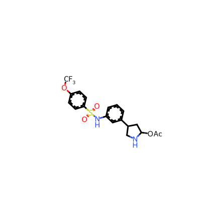 CC(=O)OC1CC(c2cccc(NS(=O)(=O)c3ccc(OC(F)(F)F)cc3)c2)CN1